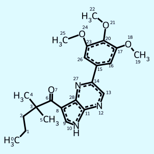 CCCC(C)(C)C(=O)c1c[nH]c2ncc(-c3cc(OC)c(OC)c(OC)c3)nc12